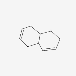 [C]1CC=CC2CC=CCC12